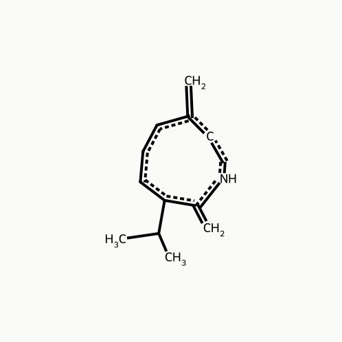 C=c1cccc(C(C)C)c(=C)[nH]cc1